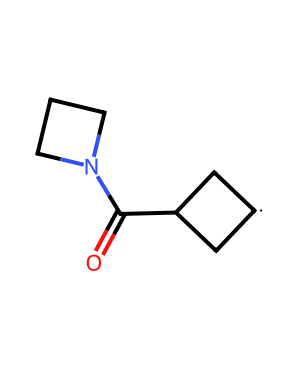 O=C(C1C[CH]C1)N1CCC1